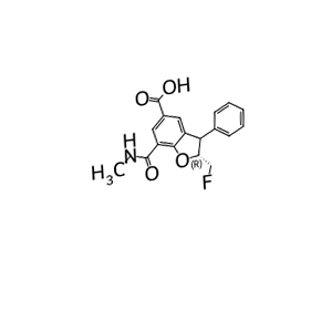 CNC(=O)c1cc(C(=O)O)cc2c1O[C@@H](CF)C2c1ccccc1